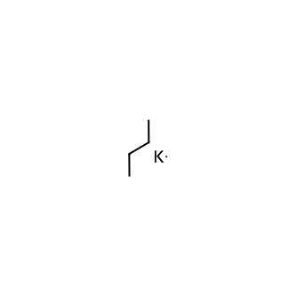 CCCC.[K]